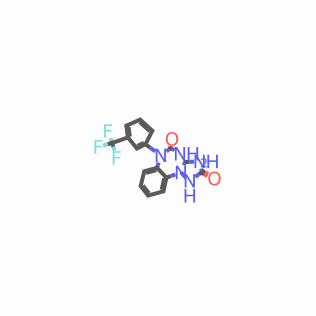 NC(=O)N(c1cccc(C(F)(F)F)c1)c1ccccc1N1CNC(=O)N1